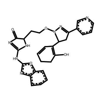 O=C1N=C(Nc2nc3ccccc3o2)NC1CCON1N=C(c2cccnc2)CC1C1=C(O)CCC=C1